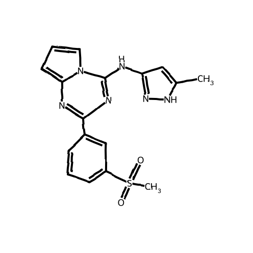 Cc1cc(Nc2nc(-c3cccc(S(C)(=O)=O)c3)nc3cccn23)n[nH]1